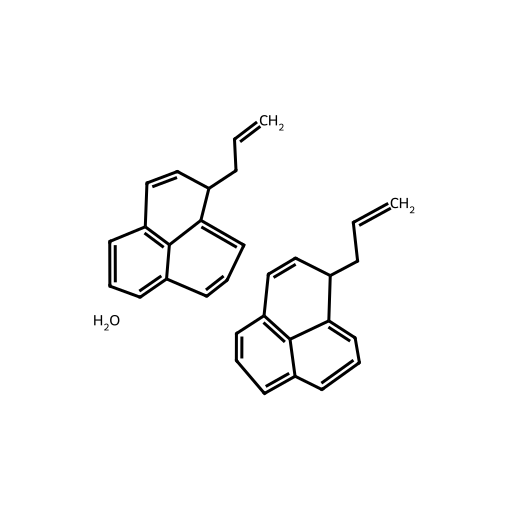 C=CCC1C=Cc2cccc3cccc1c23.C=CCC1C=Cc2cccc3cccc1c23.O